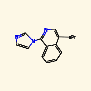 CCCc1cnc(-n2ccnc2)c2ccccc12